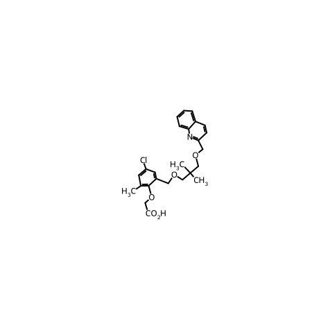 Cc1cc(Cl)cc(COCC(C)(C)COCc2ccc3ccccc3n2)c1OCC(=O)O